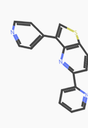 c1ccc(-c2ccc3scc(-c4ccncc4)c3n2)nc1